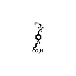 CC(C)C[Si](C)(C)OCc1ccc(OCCCC(=O)O)cc1